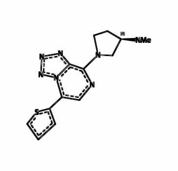 CN[C@@H]1CCN(c2ncc(-c3cccs3)n3nnnc23)C1